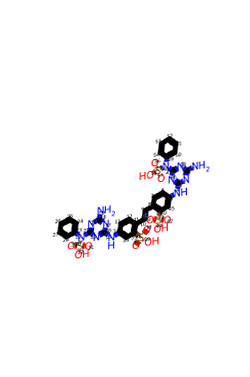 Nc1nc(Nc2ccc(/C=C/c3ccc(Nc4nc(N)nc(N(c5ccccc5)S(=O)(=O)O)n4)cc3S(=O)(=O)O)c(S(=O)(=O)O)c2)nc(N(c2ccccc2)S(=O)(=O)O)n1